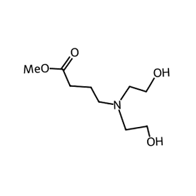 COC(=O)CCCN(CCO)CCO